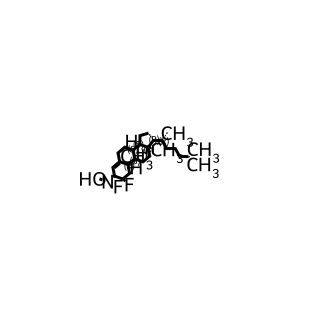 CC(C)CCC[C@@H](C)[C@H]1CC[C@H]2[C@@H]3CCC4=CC(=NO)C(F)(F)C[C@]4(C)[C@H]3CC[C@]12C